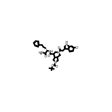 CNC(=O)[C@H](CCCc1ccccc1)NC(=O)C1CN(C(=O)Cc2c[nH]c3cc(Cl)ccc23)CC2CN(C(=O)OC(C)(C)C)CC21